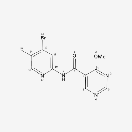 COc1ncncc1C(=O)Nc1cc(Br)c(C)cn1